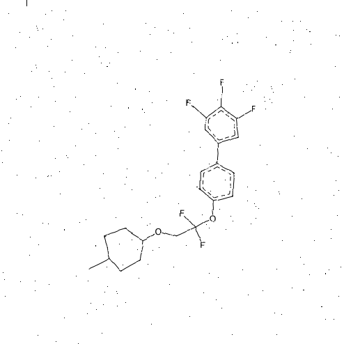 CC1CCC(OCC(F)(F)Oc2ccc(-c3cc(F)c(F)c(F)c3)cc2)CC1